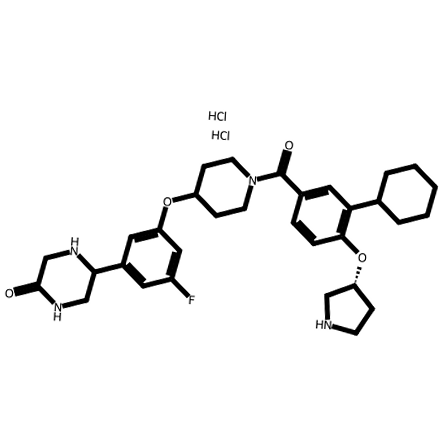 Cl.Cl.O=C1CNC(c2cc(F)cc(OC3CCN(C(=O)c4ccc(O[C@@H]5CCNC5)c(C5CCCCC5)c4)CC3)c2)CN1